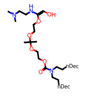 CCCCCCCCCCCCN(CCCCCCCCCCCC)C(=O)OCCOC(C)(C)OCCO/C(=C\O)NCCN(C)C